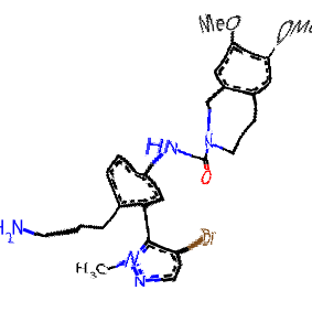 COc1cc2c(cc1OC)CN(C(=O)Nc1ccc(CCCN)c(-c3c(Br)cnn3C)c1)CC2